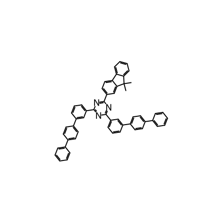 CC1(C)c2ccccc2-c2ccc(-c3nc(-c4cccc(-c5ccc(-c6ccccc6)cc5)c4)nc(-c4cccc(-c5ccc(-c6ccccc6)cc5)c4)n3)cc21